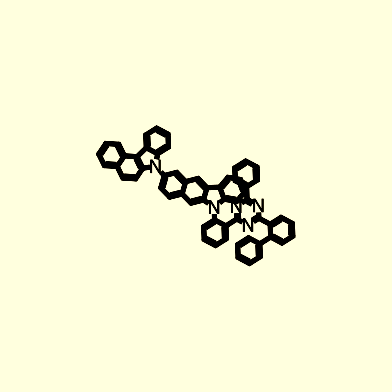 c1ccc(-c2nc(-c3ccccc3-c3ccccc3)nc(-c3ccccc3-n3c4ccccc4c4cc5cc(-n6c7ccccc7c7c8ccccc8ccc76)ccc5cc43)n2)cc1